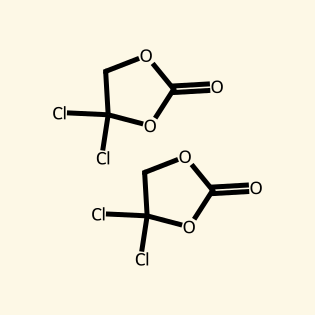 O=C1OCC(Cl)(Cl)O1.O=C1OCC(Cl)(Cl)O1